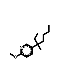 CCCCC(C)(CC)c1ccc(OC)nc1